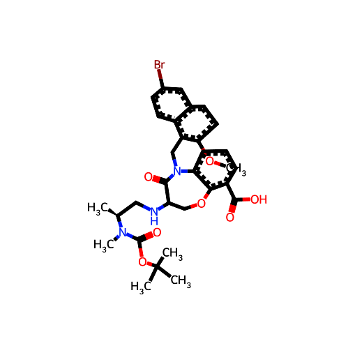 COc1ccc2cc(Br)ccc2c1CN1C(=O)C(NC[C@H](C)N(C)C(=O)OC(C)(C)C)COc2c(C(=O)O)cccc21